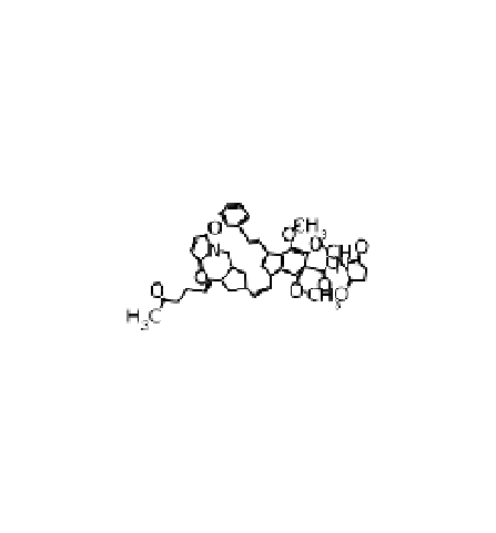 COc1c(OC)c2c(c(OC)c1C(=O)ON1C(=O)CCC1=O)C(/C=C\C1CC(C=CCCC(C)=O)[C@@H](CN3C(=O)C=CC3=O)C1)CC2C=Cc1ccccc1